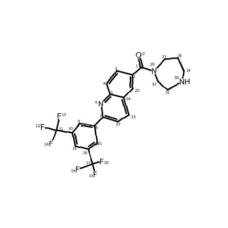 O=C(c1ccc2nc(-c3cc(C(F)(F)F)cc(C(F)(F)F)c3)ccc2c1)N1CCCNCC1